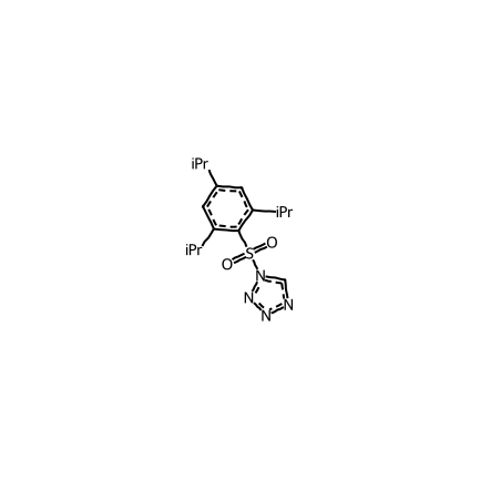 CC(C)c1cc(C(C)C)c(S(=O)(=O)n2cnnn2)c(C(C)C)c1